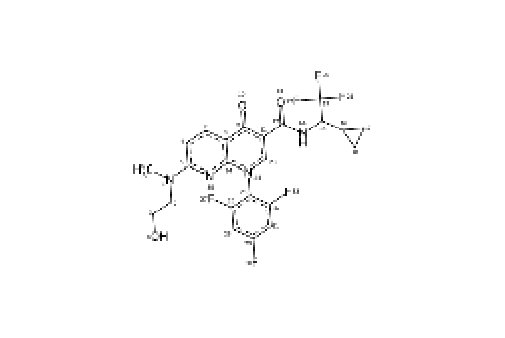 CN(CCO)c1ccc2c(=O)c(C(=O)NC(C3CC3)C(F)(F)F)cn(-c3c(F)cc(F)cc3F)c2n1